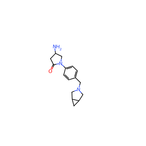 NC1CC(=O)N(c2ccc(CN3CC4CC4C3)cc2)C1